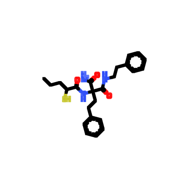 CCCC(S)C(=O)NC(CCc1ccccc1)(C(N)=O)C(=O)NCCc1ccccc1